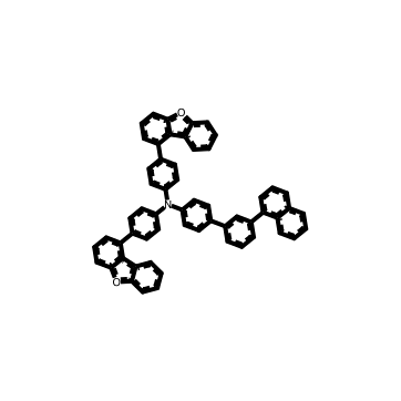 c1cc(-c2ccc(N(c3ccc(-c4cccc5oc6ccccc6c45)cc3)c3ccc(-c4cccc5oc6ccccc6c45)cc3)cc2)cc(-c2cccc3ccccc23)c1